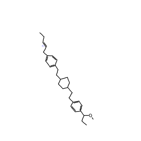 CC/C=C/Cc1ccc(CCC2CCC(CCc3ccc(C(CC)OC)cc3)CC2)cc1